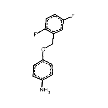 Nc1ccc(OCc2cc(F)ccc2F)cc1